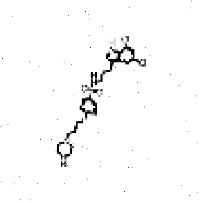 O=S(=O)(NCCCc1c[nH]c2c(Cl)cc(Cl)cc12)c1ccc(OCCCN2CCNCC2)cc1